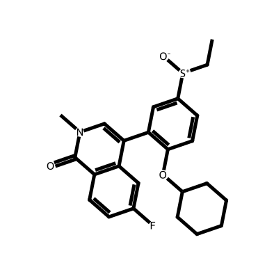 CC[S+]([O-])c1ccc(OC2CCCCC2)c(-c2cn(C)c(=O)c3ccc(F)cc23)c1